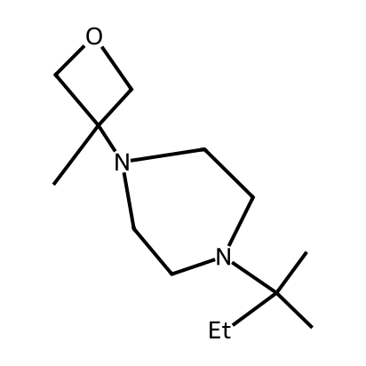 CCC(C)(C)N1CCN(C2(C)COC2)CC1